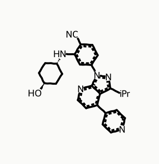 CC(C)c1nn(-c2ccc(C#N)c(N[C@H]3CC[C@H](O)CC3)c2)c2nccc(-c3ccncc3)c12